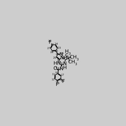 CC(C)(C)CN/C(=N/C(=O)c1ccc(F)c(F)c1)Nc1cc(-c2ccc(F)cc2)n[nH]1